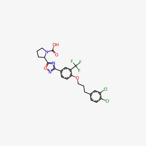 O=C(O)N1CCCC1c1nc(-c2ccc(OCCCc3ccc(Cl)c(Cl)c3)c(C(F)(F)F)c2)no1